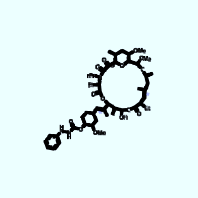 CCCN1C(=O)C(=O)C2(O)OC(C(OC)CC(C)C/C(C)=C/C(CC)C(=O)CC(O)C(C)C(/C(C)=C/C3CCC(OC(=O)NNc4ccccc4)C(OC)C3)OC(=O)C1CC)C(OC)CC2C